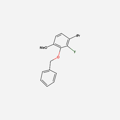 COc1ccc(C(C)C)c(F)c1OCc1ccccc1